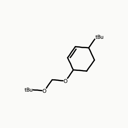 CC(C)(C)OCOC1C=CC(C(C)(C)C)CC1